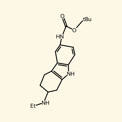 CCNC1CCc2c([nH]c3ccc(NC(=O)OC(C)(C)C)cc23)C1